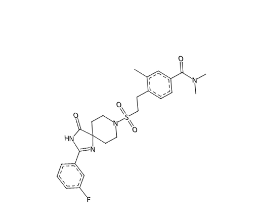 Cc1cc(C(=O)N(C)C)ccc1CCS(=O)(=O)N1CCC2(CC1)N=C(c1cccc(F)c1)NC2=O